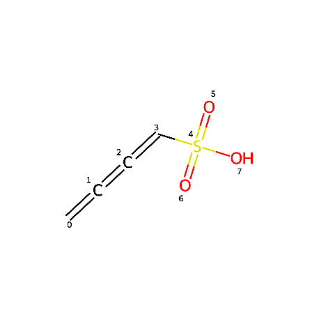 C=C=C=CS(=O)(=O)O